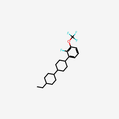 CCC1CCC(C2CCC(c3cccc(OC(F)(F)F)c3F)CC2)CC1